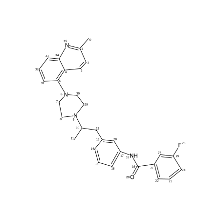 Cc1ccc2c(N3CCN(C(C)Cc4cccc(NC(=O)c5cccc(F)c5)c4)CC3)cccc2n1